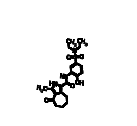 CCN(CC)S(=O)(=O)c1ccc(O)c(NC(=O)c2[nH]c(C)c3c2CCCCC3=O)c1